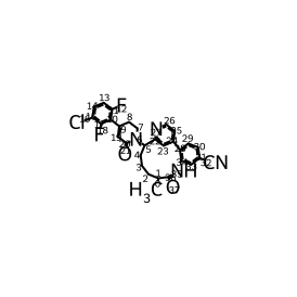 CC1CCCC(N2CCC(c3c(F)ccc(Cl)c3F)=CC2=O)c2cc(ccn2)-c2ccc(C#N)cc2NC1=O